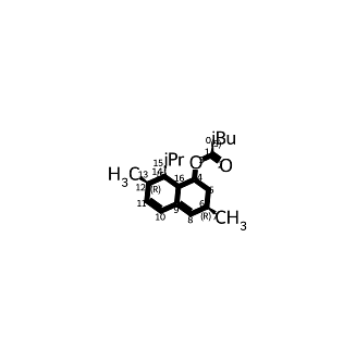 CC[C@H](C)C(=O)OC1C[C@@H](C)C=C2C=C[C@@H](C)[C@H](C(C)C)C21